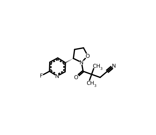 CC(C)(CC#N)C(=O)N1OCC[C@H]1c1ccc(F)nc1